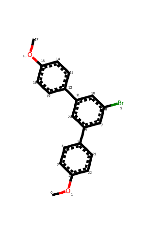 COc1ccc(-c2cc(Br)cc(-c3ccc(OC)cc3)c2)cc1